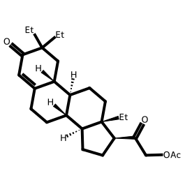 CCC1(CC)C[C@H]2C(=CC1=O)CC[C@@H]1[C@@H]2CC[C@]2(CC)[C@@H](C(=O)COC(C)=O)CC[C@@H]12